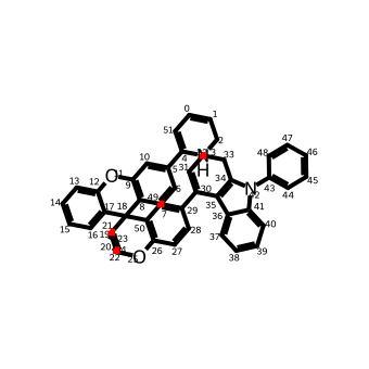 C1=CCNC(c2ccc3c(c2)Oc2ccccc2C32c3ccccc3Oc3ccc(C4=CCCc5c4c4ccccc4n5-c4ccccc4)cc32)=C1